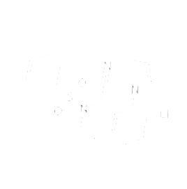 Cc1ccc(S(=O)(=O)N2C=Cc3ccc(Cl)c(-n4cccc4)c3C2C#N)cc1